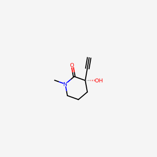 C#C[C@@]1(O)CCCN(C)C1=O